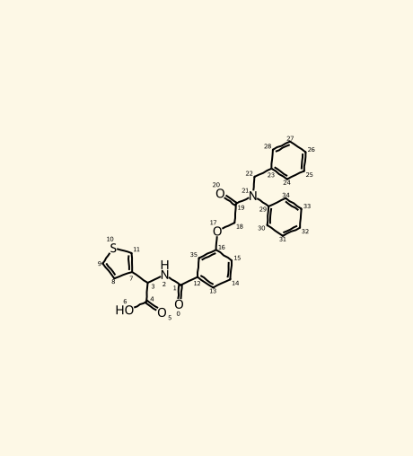 O=C(NC(C(=O)O)c1ccsc1)c1cccc(OCC(=O)N(Cc2ccccc2)c2ccccc2)c1